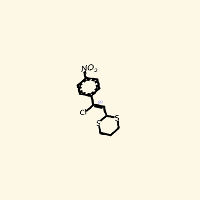 O=[N+]([O-])c1ccc(/C(Cl)=C/C2SCCCS2)cc1